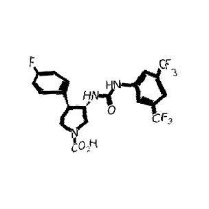 O=C(Nc1cc(C(F)(F)F)cc(C(F)(F)F)c1)N[C@@H]1CN(C(=O)O)C[C@H]1c1ccc(F)cc1